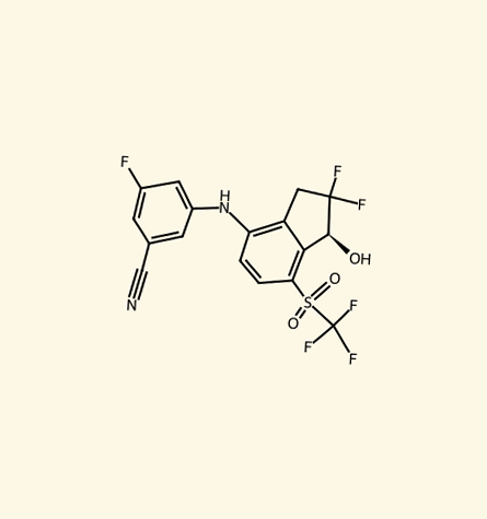 N#Cc1cc(F)cc(Nc2ccc(S(=O)(=O)C(F)(F)F)c3c2CC(F)(F)[C@H]3O)c1